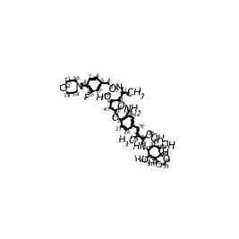 C/C(=N/OCc1ccc(N2CCOCC2)c(F)c1)C1O[C@@H](Oc2ccc(/C=C(\C)C(=O)N[C@@H]3[C@H](O)[C@@H](O)[C@H]4OCO[C@H]4[C@H]3O)cc2N)CC1O